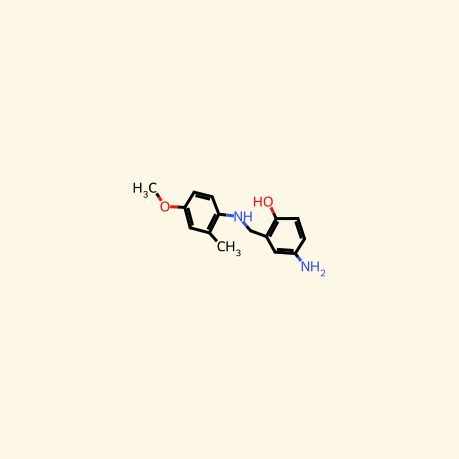 COc1ccc(NCc2cc(N)ccc2O)c(C)c1